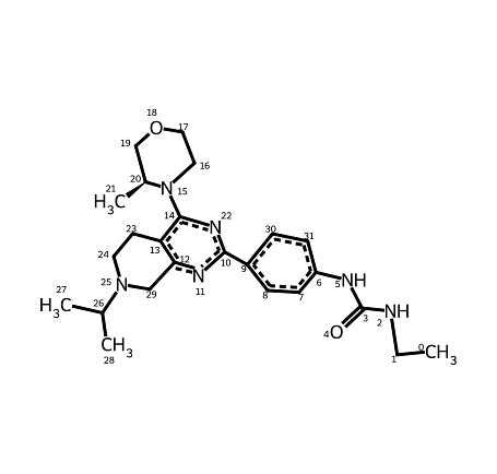 CCNC(=O)Nc1ccc(-c2nc3c(c(N4CCOC[C@@H]4C)n2)CCN(C(C)C)C3)cc1